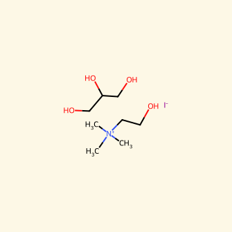 C[N+](C)(C)CCO.OCC(O)CO.[I-]